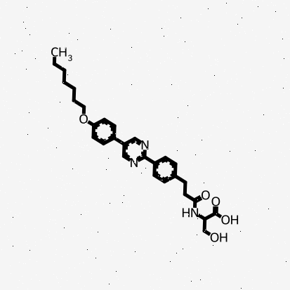 CCCCCCCOc1ccc(-c2cnc(-c3ccc(CCC(=O)NC(CO)C(=O)O)cc3)nc2)cc1